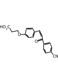 N#Cc1ccc(C(=O)/C=C\c2ccc(OCCC(=O)O)cc2)cc1